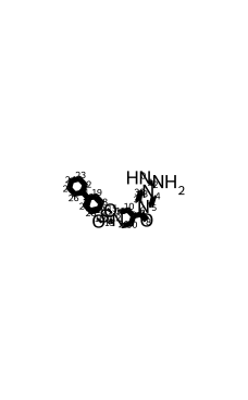 N=C(N)N1CCN(C(=O)C2CCN(CS(=O)(=O)c3ccc(C4CCCCC4)cc3)CC2)CC1